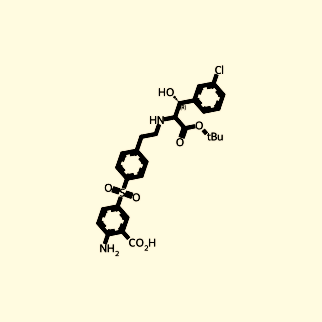 CC(C)(C)OC(=O)C(NCCc1ccc(S(=O)(=O)c2ccc(N)c(C(=O)O)c2)cc1)[C@H](O)c1cccc(Cl)c1